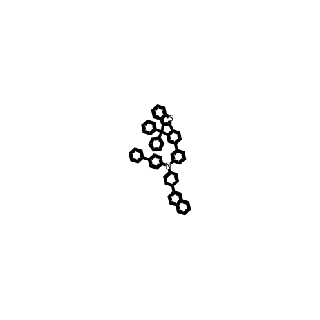 C1=CC(c2ccc3ccccc3c2)CC=C1N(c1ccc(-c2ccccc2)cc1)c1cccc(-c2ccc3c(c2)C(c2ccccc2)(c2ccccc2)c2c-3sc3ccccc23)c1